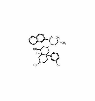 CC(C)CN(C(=O)c1ccc2ccccc2c1)[C@H]1CC(O)[C@@H]2CN(C)CC[C@@]2(c2cccc(O)c2)C1